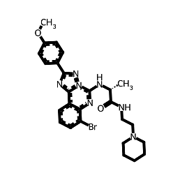 COc1ccc(-c2nc3c4cccc(Br)c4nc(N[C@H](C)C(=O)NCCN4CCCCC4)n3n2)cc1